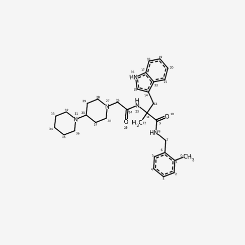 Cc1ccccc1CNC(=O)C(C)(Cc1c[nH]c2ccccc12)NC(=O)CN1CCC(N2CCCCC2)CC1